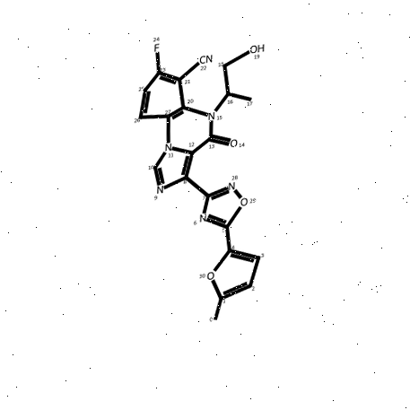 Cc1ccc(-c2nc(-c3ncn4c3c(=O)n(C(C)CO)c3c(C#N)c(F)ccc34)no2)o1